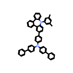 Cc1cc(C)cc(N2c3ccccc3-c3ccccc3-c3cc(-c4ccc(N(c5ccc(-c6ccccc6)cc5)c5ccc(-c6ccccc6)cc5)cc4)ccc32)c1